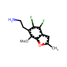 COc1c(CCN)c(F)c(F)c2cc(C)oc12